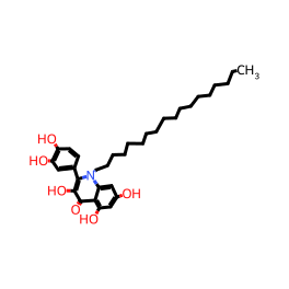 CCCCCCCCCCCCCCCCCCn1c(-c2ccc(O)c(O)c2)c(O)c(=O)c2c(O)cc(O)cc21